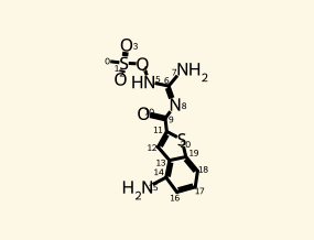 CS(=O)(=O)ONC(N)=NC(=O)c1cc2c(N)cccc2s1